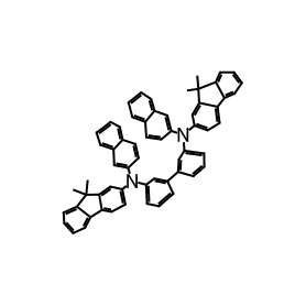 CC1(C)c2ccccc2-c2ccc(N(c3cccc(-c4cccc(N(c5ccc6c(c5)C(C)(C)c5ccccc5-6)c5ccc6ccccc6c5)c4)c3)c3ccc4ccccc4c3)cc21